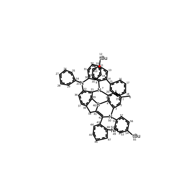 Cc1cc2c3c(c1)N(c1ccc(C(C)(C)C)cc1-c1ccccc1)c1c(N(c4ccccc4)c4ccccc4)ccc4c1B3C(=C(c1ccccc1N)N2c1ccc(C(C)(C)C)cc1)C4